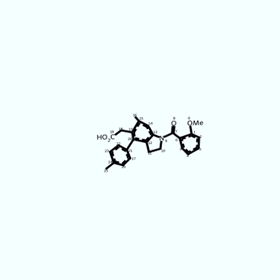 COc1ccccc1C(=O)N1CCc2c1cc(C)c(CC(=O)O)c2-c1ccc(C)cc1